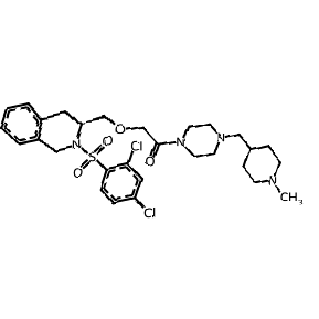 CN1CCC(CN2CCN(C(=O)COC[C@@H]3Cc4ccccc4CN3S(=O)(=O)c3ccc(Cl)cc3Cl)CC2)CC1